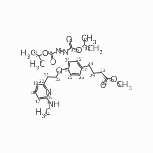 CC(C)OC(=O)N=NC(=O)OC(C)C.CNc1cccc(CCOc2ccc(CCCC(=O)OC)cc2)n1